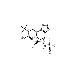 CC(C)(C)N(CC1c2sccc2C2CN1C(=O)N2OS(=O)(=O)O)C(=O)O